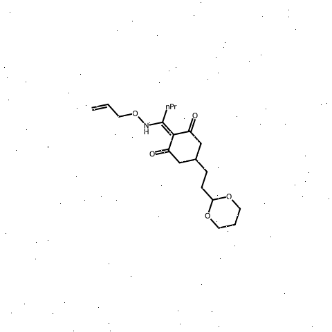 C=CCONC(CCC)=C1C(=O)CC(CCC2OCCCO2)CC1=O